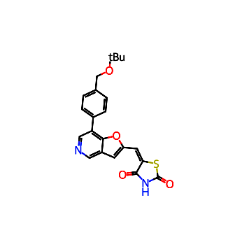 CC(C)(C)OCc1ccc(-c2cncc3cc(C=C4SC(=O)NC4=O)oc23)cc1